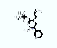 C=CCN(C/C(=N/O)c1cccnc1)C(=O)OC(C)(C)C